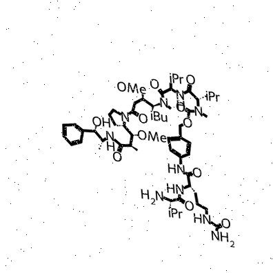 CC[C@H](C)[C@@H]([C@@H](CC(=O)N1CCC[C@H]1[C@H](OC)[C@@H](C)C(=O)N[C@H](C)[C@@H](O)c1ccccc1)OC)N(C)C(=O)C(NC(=O)[C@H](C(C)C)N(C)C(=O)OCc1ccc(NC(=O)[C@H](CCCNC(N)=O)NC(=O)[C@@H](N)C(C)C)cc1)C(C)C